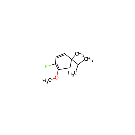 COC1=C(F)C=CC(C)(C(C)C)C1